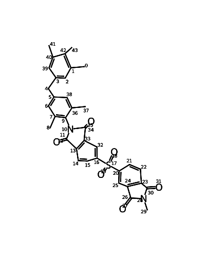 Cc1cc(Cc2cc(C)c(N3C(=O)c4ccc(S(=O)(=O)c5ccc6c(c5)C(=O)N(C)C6=O)cc4C3=O)c(C)c2)cc(C)c1C